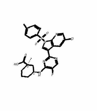 Cc1ccc(S(=O)(=O)n2cc(-c3ncc(F)c(N[C@H]4CCC[C@@](C)(C(=O)O)C4)n3)c3cc(Cl)cnc32)cc1